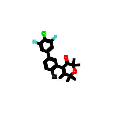 CCc1ccc(-c2cc(F)c(Cl)c(F)c2)cc1C1=C(C)C(C)(C)OC(C)(C)C1=O